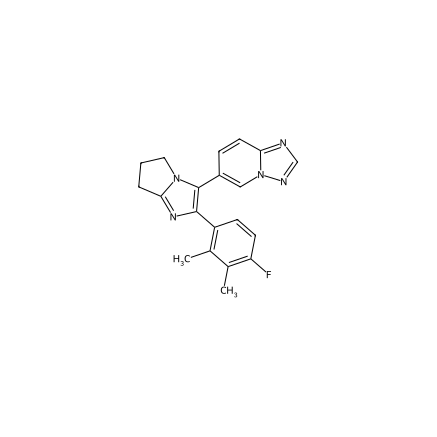 Cc1c(F)ccc(-c2nc3n(c2-c2ccc4ncnn4c2)CCC3)c1C